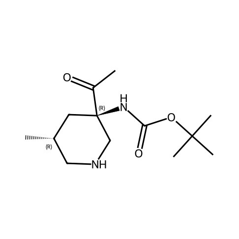 CC(=O)[C@]1(NC(=O)OC(C)(C)C)CNC[C@H](C)C1